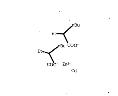 CCCCC(CC)C(=O)[O-].CCCCC(CC)C(=O)[O-].[Cd].[Zn+2]